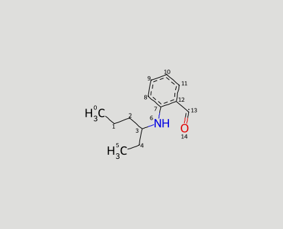 CCCC(CC)Nc1ccccc1[C]=O